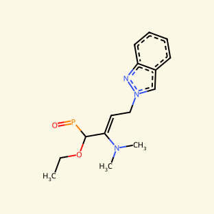 CCOC(P=O)C(=CCn1cc2ccccc2n1)N(C)C